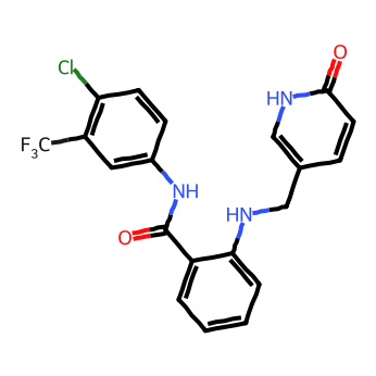 O=C(Nc1ccc(Cl)c(C(F)(F)F)c1)c1ccccc1NCc1ccc(=O)[nH]c1